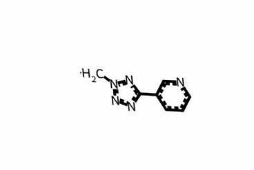 [CH2]n1nnc(-c2cccnc2)n1